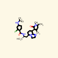 CC[C@@H](Nc1ccc(C(=O)N[C@@H](Cc2ccc(-c3c(C(F)(F)F)cc(C)n(C)c3=O)c3nccn23)C(=O)O)c(F)c1)C(F)(F)F